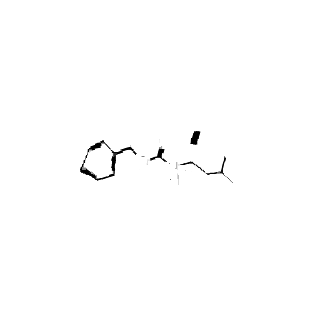 C#C[C@H](CC(C)C)NC(=O)OCc1ccccc1